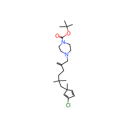 C=C(CCC(C)(C)CC1(C)C=CC(Cl)=C1)CN1CCN(C(=O)OC(C)(C)C)CC1